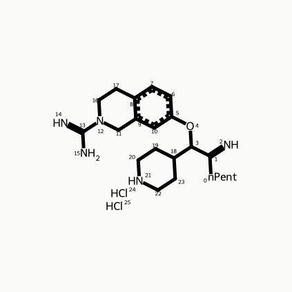 CCCCCC(=N)C(Oc1ccc2c(c1)CN(C(=N)N)CC2)C1CCNCC1.Cl.Cl